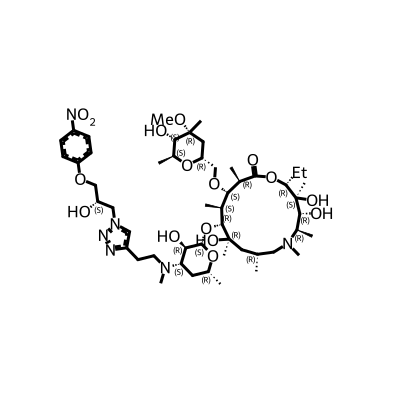 CC[C@H]1OC(=O)[C@H](C)[C@@H](OC[C@H]2C[C@@](C)(OC)[C@@H](O)[C@H](C)O2)[C@H](C)[C@@H](O[C@@H]2O[C@H](C)C[C@H](N(C)CCc3cn(C[C@H](O)COc4ccc([N+](=O)[O-])cc4)nn3)[C@H]2O)[C@](C)(O)C[C@@H](C)CN(C)[C@H](C)[C@@H](O)[C@]1(C)O